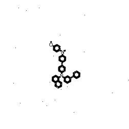 COc1ccc(N(C)c2ccc(-c3ccc(N(c4cccc(-c5ccccc5)c4)c4cccc5ccccc45)cc3)cc2)cc1